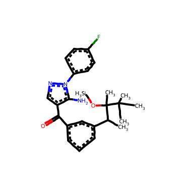 CC(c1cccc(C(=O)c2cnn(-c3ccc(F)cc3)c2N)c1)C(C)(O[SiH3])C(C)(C)C